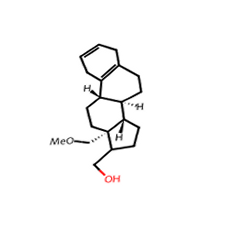 COC[C@]12CC[C@@H]3C4=C(CC=CC4)CC[C@H]3[C@@H]1CCC2CO